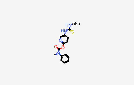 CCCCNC(=S)Nc1ccc(OC(=O)N(C)c2ccccc2)nc1